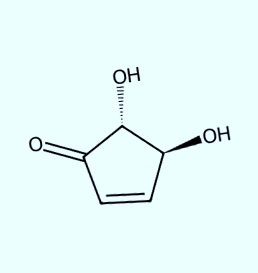 O=C1C=C[C@H](O)[C@H]1O